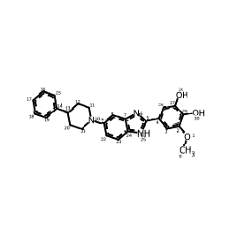 COc1cc(-c2nc3cc(N4CCC(c5ccccc5)CC4)ccc3[nH]2)cc(O)c1O